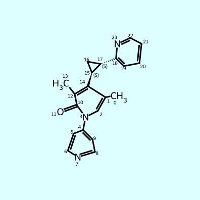 Cc1cn(-c2ccncc2)c(=O)c(C)c1[C@H]1C[C@@H]1c1ccccn1